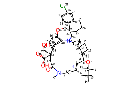 CN1CC/C=C/[C@H](O[Si](C)(C)C(C)(C)C)[C@@H]2CC[C@H]2CN2C[C@@]3(CCCc4cc(Cl)ccc43)COc3ccc(cc32)[C@@](CO)(C(=O)O)CC1=O